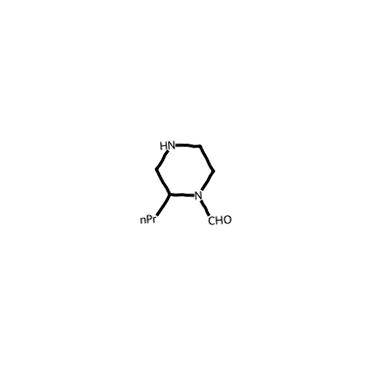 CCCC1CNCCN1C=O